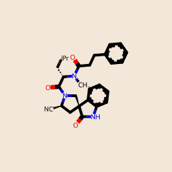 CC(C)C[C@@H](C(=O)N1C[C@]2(C[C@H]1C#N)C(=O)Nc1ccccc12)N(C)C(=O)CCc1ccccc1